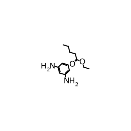 CCCCC(=O)OCC.Nc1cccc(N)c1